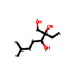 CCC(O)(CO)C(O)CCC(C)C